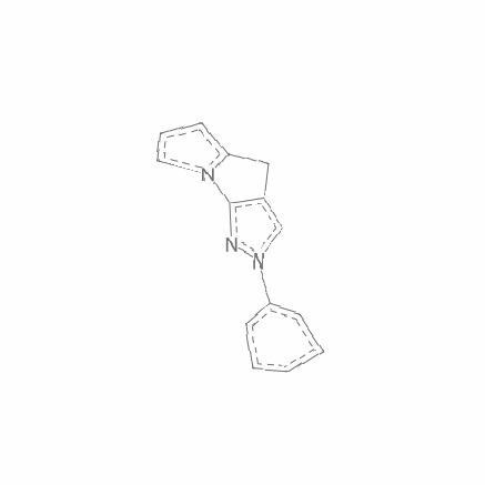 c1ccc(-n2cc3c(n2)-n2cccc2C3)cc1